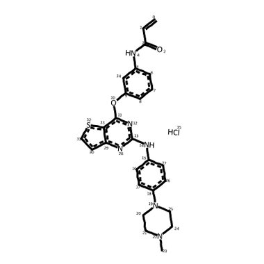 C=CC(=O)Nc1cccc(Oc2nc(Nc3ccc(N4CCN(C)CC4)cc3)nc3ccsc23)c1.Cl